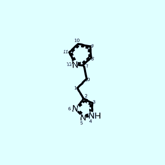 [CH](Cc1c[nH]nn1)c1ccccn1